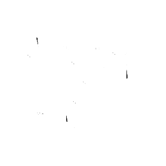 COC[C@H](C)Nc1cc(O[C@@H](C)[C@@H]2CCCN2C)nc(/C(O)=C2\CCC[C@@]3(CCCCC3=O)C2=N)n1